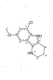 COc1cc(Cl)c2[nH]c3c(c2c1)NCCC3